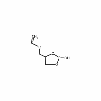 C=COCC1COP(O)O1